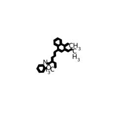 C\C=C/C(=C\C=C\c1cc(=C/CC)/c(=C\C)c2ccccc12)c1nc2ccccc2o1